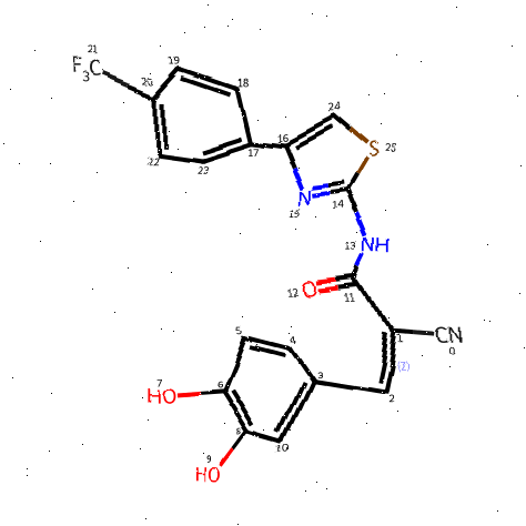 N#C/C(=C/c1ccc(O)c(O)c1)C(=O)Nc1nc(-c2ccc(C(F)(F)F)cc2)cs1